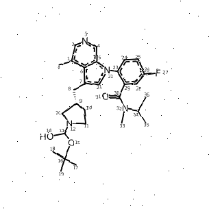 Cc1cncc2c1c(C[C@@H]1CCN(C(O)OC(C)(C)C)C1)cn2-c1ccc(F)cc1C(=O)N(C)C(C)C